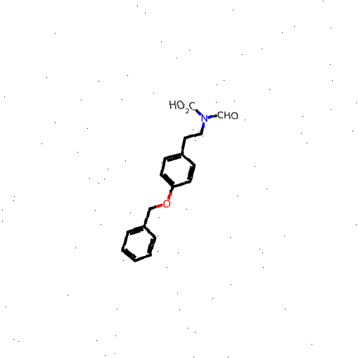 O=CN(CCc1ccc(OCc2ccccc2)cc1)C(=O)O